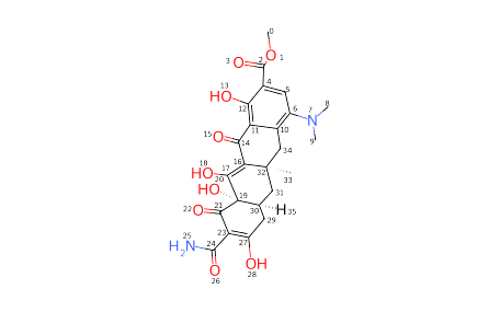 COC(=O)c1cc(N(C)C)c2c(c1O)C(=O)C1=C(O)[C@]3(O)C(=O)C(C(N)=O)=C(O)C[C@@H]3C[C@]1(C)C2